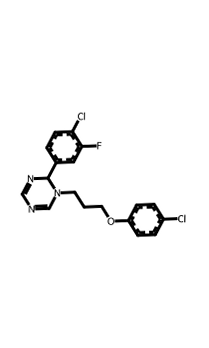 Fc1cc(C2N=CN=CN2CCCOc2ccc(Cl)cc2)ccc1Cl